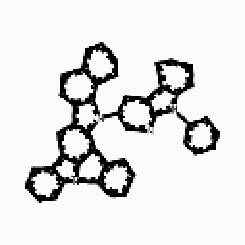 c1ccc(-n2c3ccccc3c3cc(-n4c5c6ccccc6ccc5c5cc6c7ccccc7n7c8ccccc8c(c54)c67)cnc32)cc1